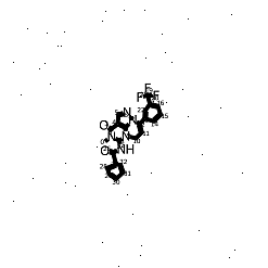 CN1C(=O)c2cnn3c2N(CC=C3c2cccc(C(F)(F)F)c2)C1NC(=O)c1ccccc1